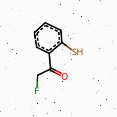 O=C(CF)c1ccccc1S